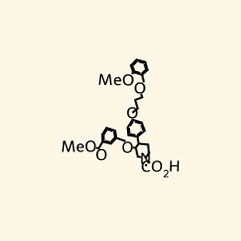 COC(=O)c1cccc(COC2CN(C(=O)O)CCC2c2ccc(OCCCOCc3ccccc3OC)cc2)c1